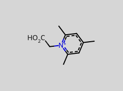 Cc1cc(C)[n+](CC(=O)O)c(C)c1